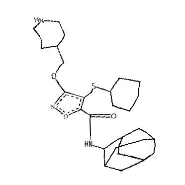 O=C(NC1C2CC3CC(C2)CC1C3)c1onc(OCC2CCNCC2)c1SC1CCCCC1